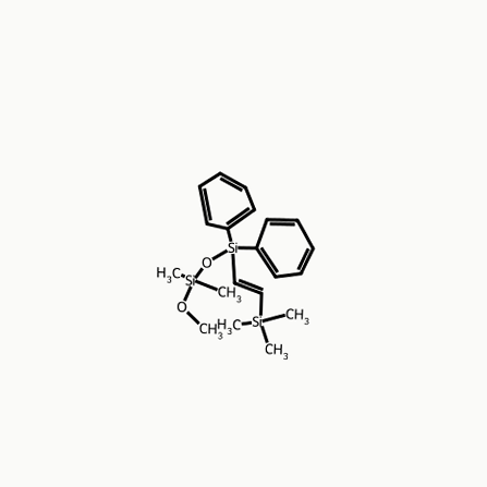 CO[Si](C)(C)O[Si](C=C[Si](C)(C)C)(c1ccccc1)c1ccccc1